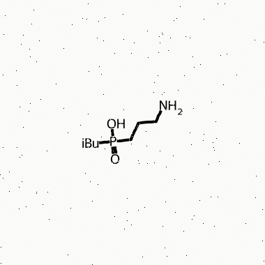 CCC(C)P(=O)(O)CCCN